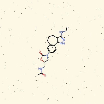 CCNc1n[nH]c2c1CCCc1cc(N3C[C@H](CNC(C)=O)OC3=O)ccc1-2